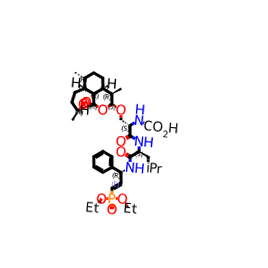 CCOP(=O)(/C=C/[C@@H](NC(=O)[C@H](CC(C)C)NC(=O)[C@H](CO[C@H]1O[C@@H]2O[C@@]3(C)CC[C@H]4[C@H](C)CC[C@@H]([C@H]1C)[C@@]24OO3)NC(=O)O)c1ccccc1)OCC